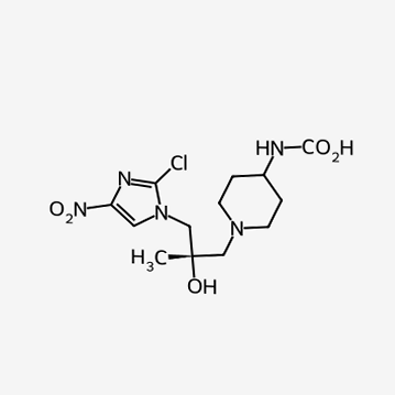 C[C@](O)(CN1CCC(NC(=O)O)CC1)Cn1cc([N+](=O)[O-])nc1Cl